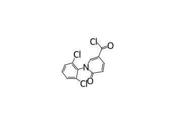 O=C(Cl)c1ccc(=O)n(-c2c(Cl)cccc2Cl)c1